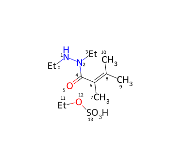 CCNN(CC)C(=O)C(C)=C(C)C.CCOS(=O)(=O)O